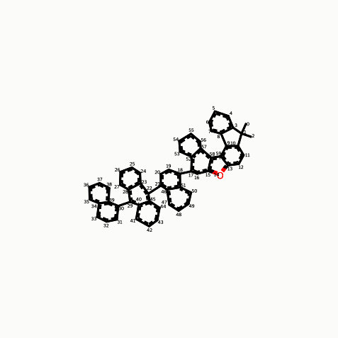 CC1(C)c2ccccc2-c2c1ccc1oc3cc(-c4ccc(-c5c6ccccc6c(-c6cccc7ccccc67)c6ccccc56)c5ccccc45)c4ccccc4c3c21